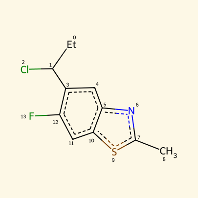 CCC(Cl)c1cc2nc(C)sc2cc1F